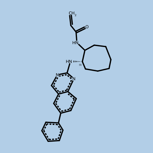 C=CC(=O)NC1CCCCCC[C@@H]1Nc1ncc2cc(-c3ccccc3)ccc2n1